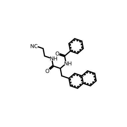 N#CCCNC(=O)C(Cc1ccc2ccccc2c1)NC(=O)c1ccccc1